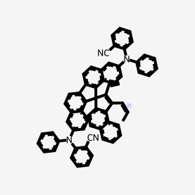 C=CC1=C(/C=C\C)c2c(ccc3ccccc23)C12c1c(ccc3cc(N(c4ccccc4)c4ccccc4C#N)ccc13)-c1ccc3cc(N(c4ccccc4)c4ccccc4C#N)ccc3c12